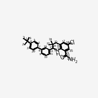 CC(C)(C)c1ccc(-c2cccc(C3Nc4c(cc(Cl)cc4C(N)=O)CC3(C)C)c2)cc1